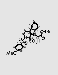 COc1ccc(S(=O)(=O)N2CCc3c(n(CC(=O)OC(C)(C)C)c4ccccc34)C2C(=O)O)cc1